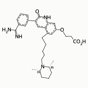 C[C@@H]1CCC[C@H](C)N1CCCCCc1cc(OCCC(=O)O)cc2[nH]c(=O)c(-c3cccc(C(=N)N)c3)cc12